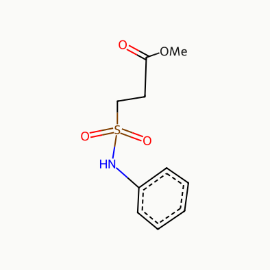 COC(=O)CCS(=O)(=O)Nc1ccccc1